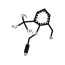 CC(C)(C)c1cccc(CBr)c1OCC#N